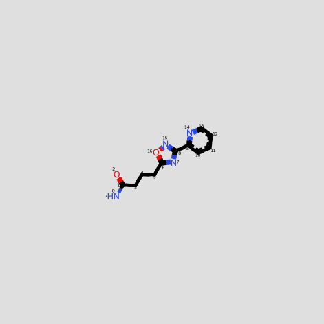 [NH]C(=O)CCCc1nc(-c2ccccn2)no1